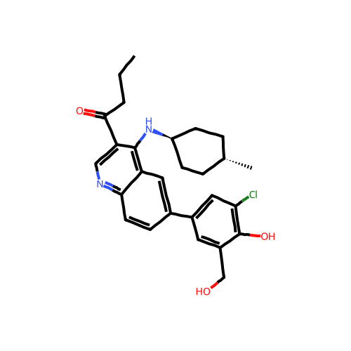 CCCC(=O)c1cnc2ccc(-c3cc(Cl)c(O)c(CO)c3)cc2c1N[C@H]1CC[C@H](C)CC1